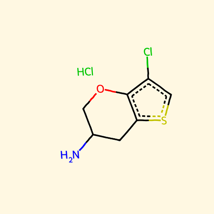 Cl.NC1COc2c(Cl)csc2C1